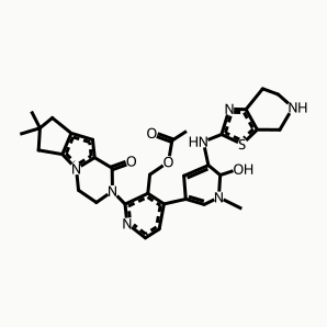 CC(=O)OCc1c(C2=CN(C)C(O)C(Nc3nc4c(s3)CNCC4)=C2)ccnc1N1CCn2c(cc3c2CC(C)(C)C3)C1=O